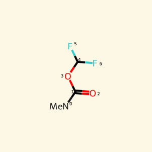 CNC(=O)OC(F)F